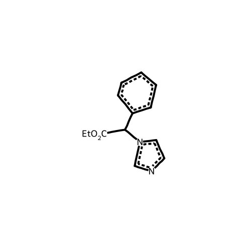 CCOC(=O)C(c1ccccc1)n1ccnc1